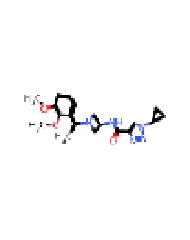 COc1cccc(C(C)N2CC(NC(=O)c3cn(C4CC4)nn3)C2)c1OC